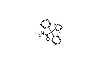 NC(=O)C(c1ccccc1)(c1ccccc1)c1ncc[nH]1